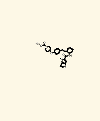 Cn1c(C(=O)Nc2ccccc2CCc2ccc(OC3CCN(C(=O)OC(C)(C)C)CC3)cc2)cc2sccc21